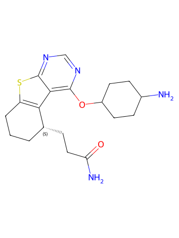 NC(=O)CC[C@@H]1CCCc2sc3ncnc(OC4CCC(N)CC4)c3c21